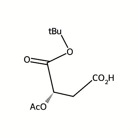 CC(=O)O[C@@H](CC(=O)O)C(=O)OC(C)(C)C